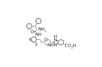 N[C@H](C(=O)Nc1cncc(F)c1CC[C@@H]1CN[C@H](c2nc3cc(C(=O)O)ccc3[nH]2)CO1)C(c1ccccc1)c1ccccc1